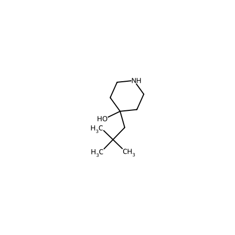 CC(C)(C)CC1(O)CCNCC1